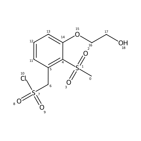 CS(=O)(=O)c1c(CS(=O)(=O)Cl)cccc1OCCO